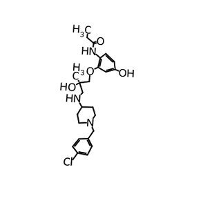 CCC(=O)Nc1ccc(O)cc1OC[C@@](C)(O)CNC1CCN(Cc2ccc(Cl)cc2)CC1